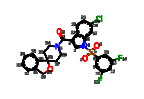 O=C(c1cn(S(=O)(=O)c2cc(F)cc(F)c2)c2cc(Cl)ccc12)N1CCC2(CC1)OCc1ccccc12